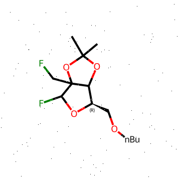 CCCCOC[C@H]1OC(F)C2(CF)OC(C)(C)OC12